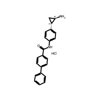 Cl.N[C@@H]1C[C@H]1c1ccc(NC(=O)c2ccc(-c3ccccc3)cc2)cc1